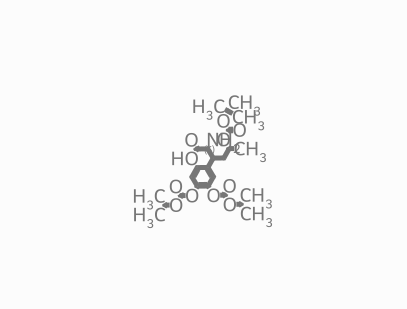 CC(C)OC(=O)Oc1ccc(C(CC(C)OC(=O)OC(C)(C)C)[C@H](N)C(=O)O)cc1OC(=O)OC(C)C